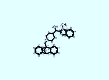 Cn1c(C(O)C2CCN(CC34CC(c5ccccc53)c3ccccc34)CC2)nc2ccccc21